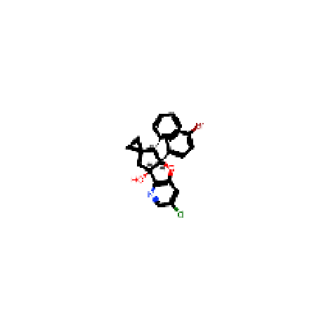 O[C@@]12CC3(CC3)[C@H](c3ccccc3)[C@]1(c1ccc(Br)cc1)Oc1cc(Cl)cnc12